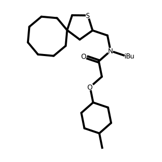 CCC(C)N(CC1CC2(CCCCCCC2)CS1)C(=O)COC1CCC(C)CC1